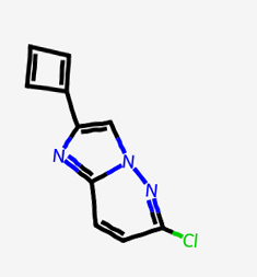 Clc1ccc2nc(C3=CC=C3)cn2n1